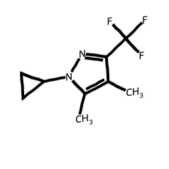 Cc1c(C(F)(F)F)nn(C2CC2)c1C